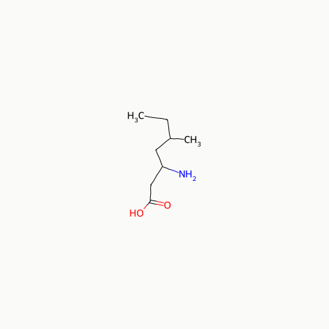 CCC(C)CC(N)CC(=O)O